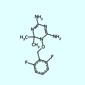 CC1(C)N=C(N)N=C(N)N1OCc1c(F)cccc1F